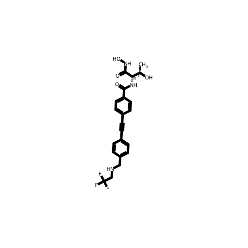 C[C@@H](O)[C@H](NC(=O)c1ccc(C#Cc2ccc(CNCC(F)(F)F)cc2)cc1)C(=O)NO